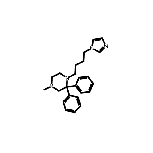 CN1CCN(CCCCn2ccnc2)C(c2ccccc2)(c2ccccc2)C1